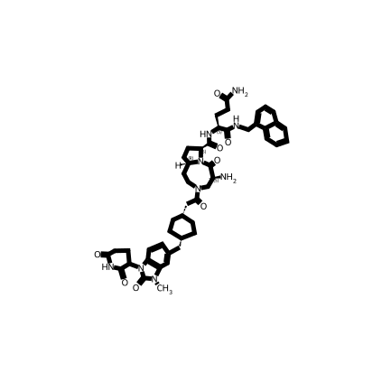 Cn1c(=O)n(C2CCC(=O)NC2=O)c2ccc(C[C@H]3CC[C@@H](CC(=O)N4CC[C@H]5CC[C@@H](C(=O)N[C@@H](CCC(N)=O)C(=O)NCc6cccc7ccccc67)N5C(=O)[C@@H](N)C4)CC3)cc21